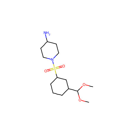 COC(OC)C1CCCC(S(=O)(=O)N2CCC(N)CC2)C1